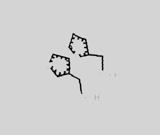 O=C(O)Cc1cccs1.O=C(O)Cc1ccsc1